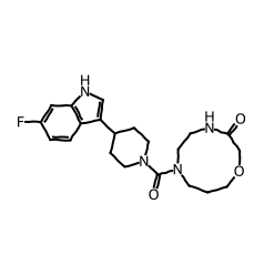 O=C1COCCCN(C(=O)N2CCC(c3c[nH]c4cc(F)ccc34)CC2)CCN1